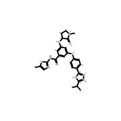 Cc1cnc(NC(=O)c2cc(Oc3ccc(-c4nnc(C(C)C)o4)cc3)cc(OC3CCN(C)C3=O)c2)s1